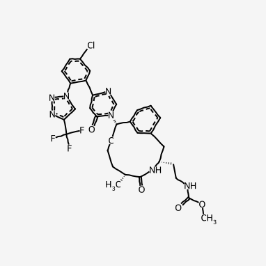 COC(=O)NCC[C@H]1Cc2cccc(c2)[C@@H](n2cnc(-c3cc(Cl)ccc3-n3cc(C(F)(F)F)nn3)cc2=O)CCC[C@@H](C)C(=O)N1